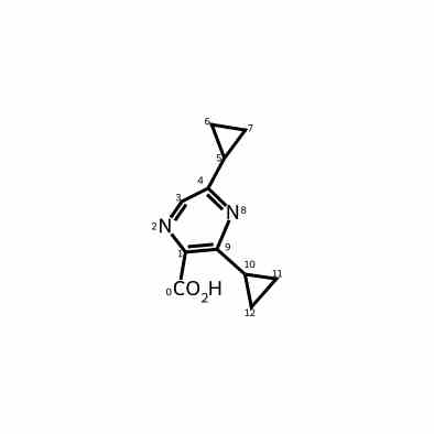 O=C(O)c1ncc(C2CC2)nc1C1CC1